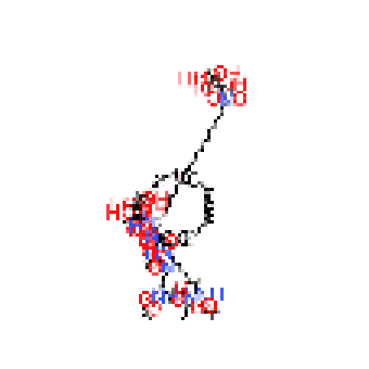 CCCCN(C(=O)OC(C)(C)C)C(NC(=O)OC(C)(C)C)C(C)CCCCC(CNC(=O)C1(C2CCCCCCCCCCCCCCCCCCCCCCOON(C(=O)[C@@](O)(C(C)=O)[C@@H](O)[C@H](O)[C@@H](C)O)NC2=O)COON1C(=O)CCCCCCCCCCCCCCCCCCCCCCCN(C(C)=O)C(=O)[C@H](O)[C@@H](O)[C@H](O)[C@@H](C)O)N(CCCCNC(=O)OC(C)(C)C)C(=O)OC(C)(C)C